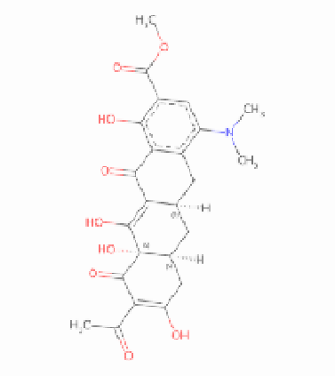 COC(=O)c1cc(N(C)C)c2c(c1O)C(=O)C1=C(O)[C@]3(O)C(=O)C(C(C)=O)=C(O)C[C@@H]3C[C@@H]1C2